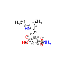 CCCCNC(CCC)CCc1cc(S(N)(=O)=O)ccc1C(=O)O